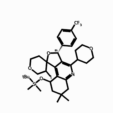 CC1(C)Cc2nc(C3CCOCC3)c3c(c2C(O[Si](C)(C)C(C)(C)C)C1)C1(CCOCC1I)O[C@@H]3c1ccc(C(F)(F)F)cc1